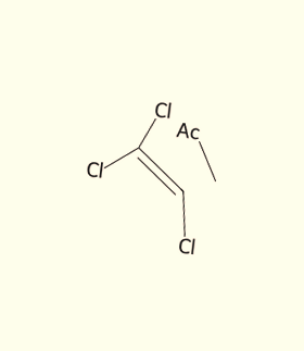 CC(C)=O.ClC=C(Cl)Cl